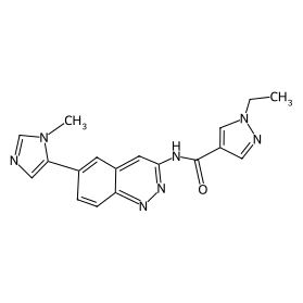 CCn1cc(C(=O)Nc2cc3cc(-c4cncn4C)ccc3nn2)cn1